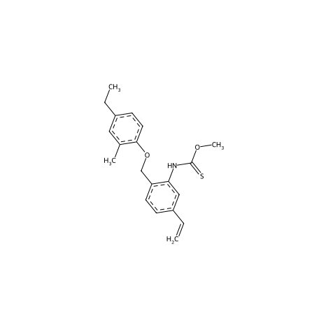 C=Cc1ccc(COc2ccc(CC)cc2C)c(NC(=S)OC)c1